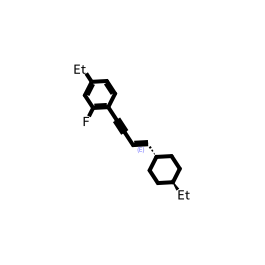 CCc1ccc(C#C/C=C/[C@H]2CC[C@H](CC)CC2)c(F)c1